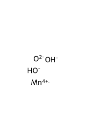 [Mn+4].[O-2].[OH-].[OH-]